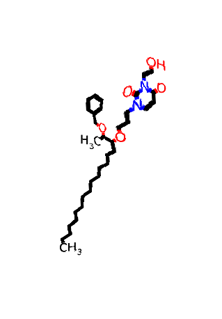 CCCCCCCCCCCCCCCC(OCCCn1ccc(=O)n(CCO)c1=O)C(C)OCc1ccccc1